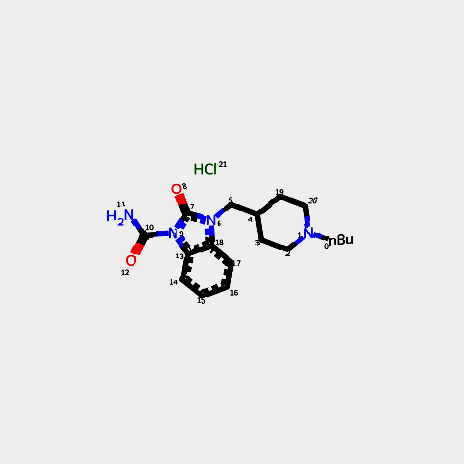 CCCCN1CCC(Cn2c(=O)n(C(N)=O)c3ccccc32)CC1.Cl